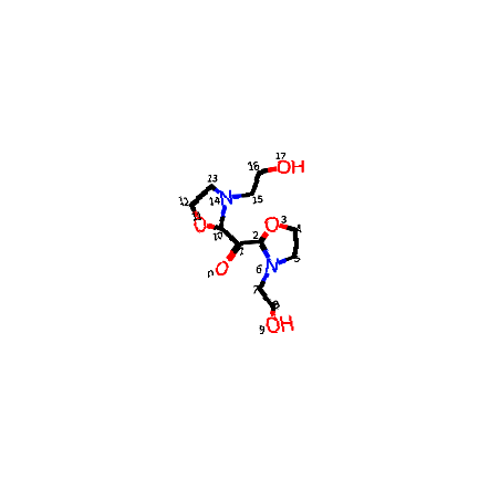 O=C(C1OCCN1CCO)C1OCCN1CCO